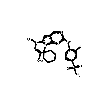 CC(=O)OC1=NN(C)c2cc3cnc(Nc4ccc(S(N)(=O)=O)cc4F)nc3n2C12CCCCC2